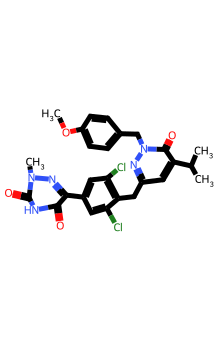 COc1ccc(Cn2nc(Cc3c(Cl)cc(-c4nn(C)c(=O)[nH]c4=O)cc3Cl)cc(C(C)C)c2=O)cc1